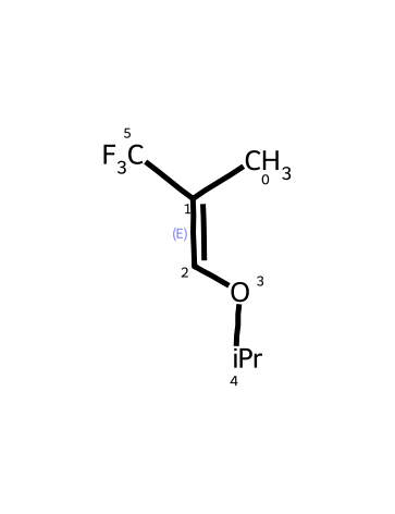 C/C(=C\OC(C)C)C(F)(F)F